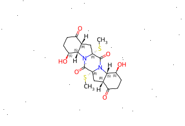 CS[C@@]12C[C@H]3C(=O)CC[C@H](O)[C@H]3N1C(=O)[C@]1(SC)C[C@H]3C(=O)CC[C@H](O)[C@H]3N1C2=O